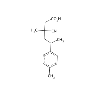 Cc1ccc(C(C)CC(C)(C#N)CC(=O)O)cc1